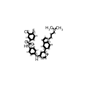 CN(C)CCCn1ccc2cc(-c3cc(Nc4ccc(NS(=O)(=O)c5ccc(F)c(Cl)c5)cc4)ncn3)ccc21